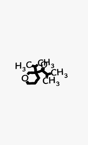 CC(C)C(=O)C1(C(C)C)CCCOC1